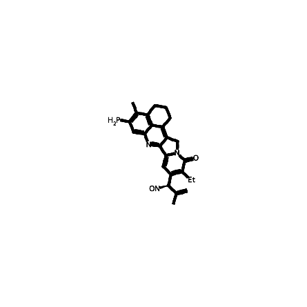 C=C(C)[C@@H](N=O)c1cc2n(c(=O)c1CC)Cc1c-2nc2cc(P)c(C)c3c2c1CCC3